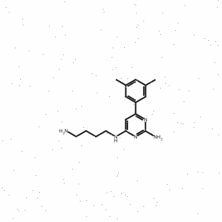 Cc1cc(C)cc(-c2cc(NCCCCN)nc(N)n2)c1